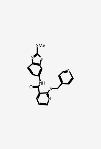 CSc1nc2ccc(NC(=O)c3cccnc3SCc3ccncc3)cc2s1